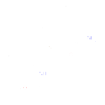 CC(=O)Nc1ccccc1Sc1ccccc1C(N)=O